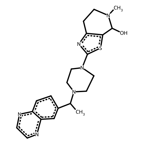 CC(c1ccc2nccnc2c1)N1CCN(c2nc3c(s2)C(O)N(C)CC3)CC1